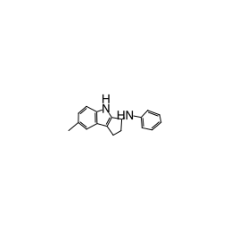 Cc1ccc2[nH]c3c(c2c1)CCC3Nc1ccccc1